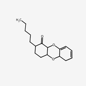 CCCCCC1CCC2OC3CC=CC=C3OC2C1=O